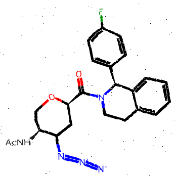 CC(=O)N[C@H]1CO[C@@H](C(=O)N2CCc3ccccc3[C@@H]2c2ccc(F)cc2)CC1N=[N+]=[N-]